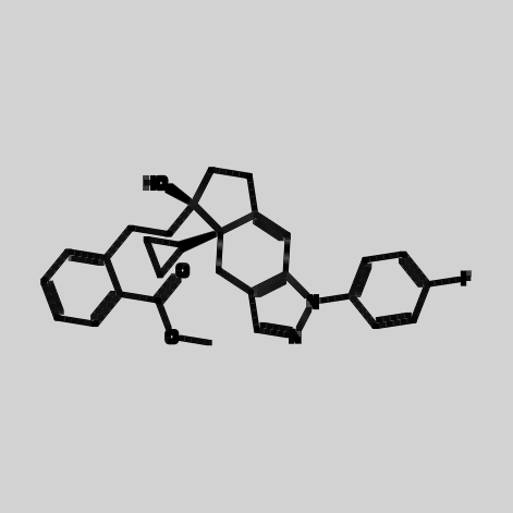 COC(=O)c1ccccc1CC[C@]1(O)CCC2=Cc3c(cnn3-c3ccc(F)cc3)C[C@@]21C1CC1